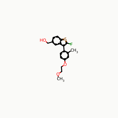 COCCOc1ccc(-c2c(F)sc3ccc(CO)cc23)c(C)c1